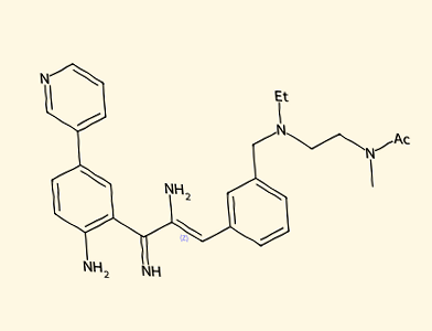 CCN(CCN(C)C(C)=O)Cc1cccc(/C=C(\N)C(=N)c2cc(-c3cccnc3)ccc2N)c1